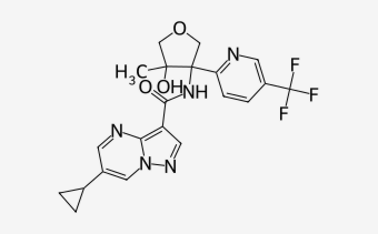 CC1(O)COCC1(NC(=O)c1cnn2cc(C3CC3)cnc12)c1ccc(C(F)(F)F)cn1